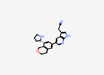 N#CCc1c[nH]c2ncc(-c3cc4c(c([C@@H]5CCCN5)c3)COCC4)cc12